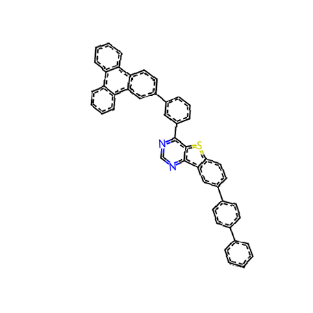 c1ccc(-c2ccc(-c3ccc4sc5c(-c6cccc(-c7ccc8c9ccccc9c9ccccc9c8c7)c6)ncnc5c4c3)cc2)cc1